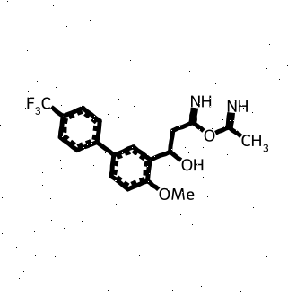 COc1ccc(-c2ccc(C(F)(F)F)cc2)cc1C(O)CC(=N)OC(C)=N